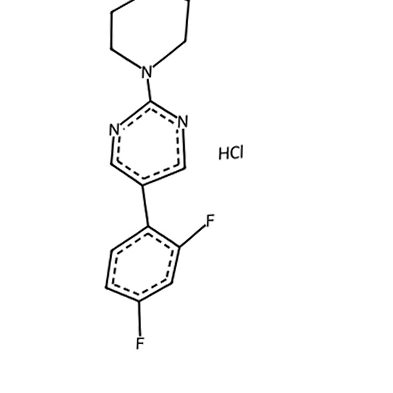 Cl.Fc1ccc(-c2cnc(N3CCNCC3)nc2)c(F)c1